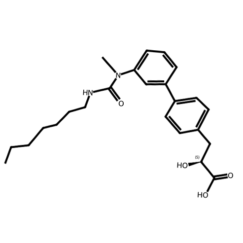 CCCCCCCNC(=O)N(C)c1cccc(-c2ccc(C[C@H](O)C(=O)O)cc2)c1